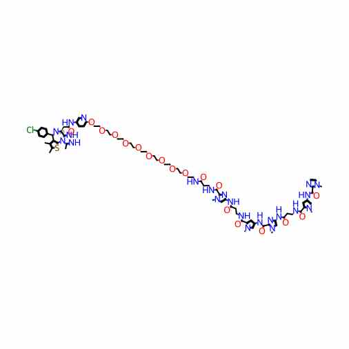 CC(=N)N1C(=N)[C@H](CC(=O)Nc2ccc(OCCOCCOCCOCCOCCOCCOCCOCCOCCNC(=O)CCNC(=O)c3nc(NC(=O)CCNC(=O)c4cc(NC(=O)c5nc(NC(=O)CCNC(=O)c6cc(NC(=O)c7nccn7C)cn6C)cn5C)cn4C)cn3C)nc2)N=C(c2ccc(Cl)cc2)c2c1sc(C)c2C